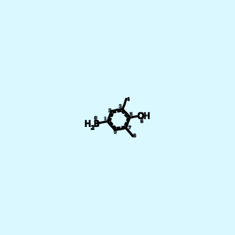 Bc1cc(C)c(O)c(C)c1